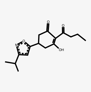 CCCC(=O)C1=C(O)CC(c2cc(C(C)C)no2)CC1=O